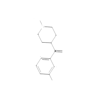 CN1CCC(C(=O)c2cccc(O)c2)CC1